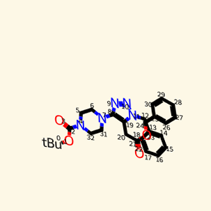 CC(C)(C)OC(=O)N1CCN(c2nnn(Cc3ccccc3)c2CC(=O)OCc2ccccc2)CC1